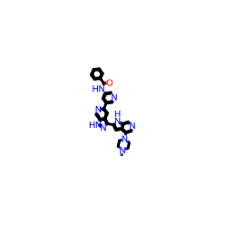 CN1CCN(c2cncc3[nH]c(-c4n[nH]c5cnc(-c6cncc(NC(=O)c7ccccc7)c6)cc45)cc23)CC1